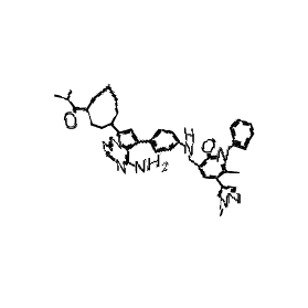 Cc1c(-c2cnn(C)c2)cc(CNc2ccc(-c3cc(C4CCCCC(C(=O)C(C)C)CC4)n4ncnc(N)c34)cc2)c(=O)n1-c1ccccc1